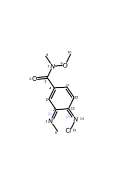 C/N=C1/C=C(C(=O)N(C)OC)C=C/C1=N/Cl